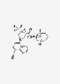 CN1[C@@H]2CCC[C@H]1C[C@@H](NC(=O)C13CN(c4ccc(C#N)c5ncccc45)CC1(C(F)(F)F)C3)C2